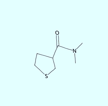 CN(C)C(=O)C1CCSC1